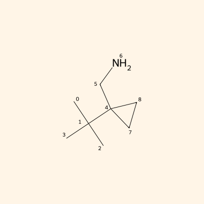 CC(C)(C)C1(CN)CC1